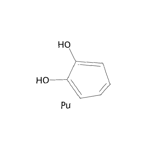 Oc1ccccc1O.[Pu]